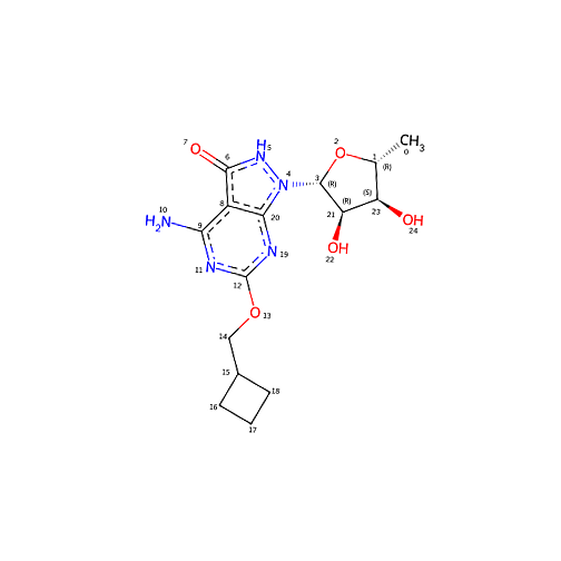 C[C@H]1O[C@@H](n2[nH]c(=O)c3c(N)nc(OCC4CCC4)nc32)[C@H](O)[C@@H]1O